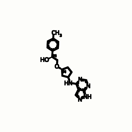 Cc1ccc([C@@H](O)CO[C@H]2CCC(Nc3ncnc4[nH]ncc34)C2)cc1